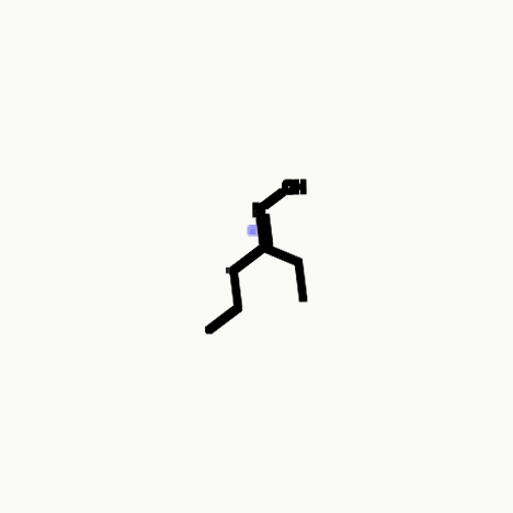 CC[CH]/C(CC)=N/O